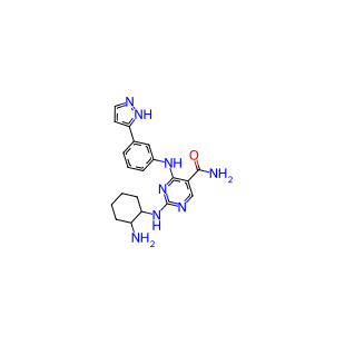 NC(=O)c1cnc(NC2CCCCC2N)nc1Nc1cccc(-c2ccn[nH]2)c1